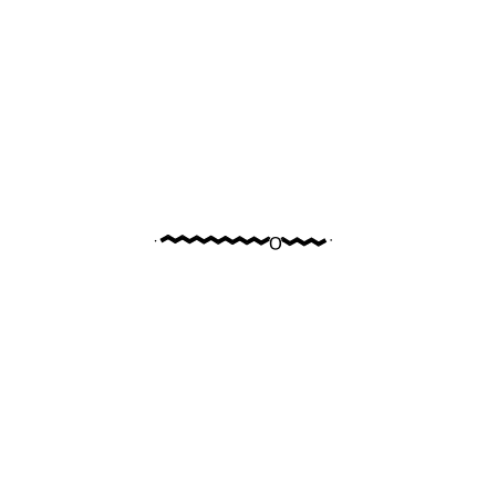 [CH2]CCCCCCCCCCCCCCCOCCCCCC[CH2]